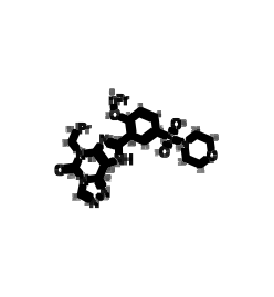 CCCOc1ccc(S(=O)(=O)N2CCOCC2)cc1-c1nc2c([nH]1)c1nncn1c(=O)n2CC(C)C